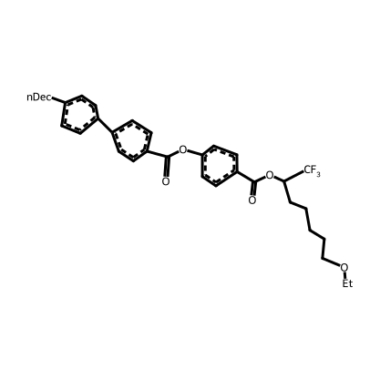 CCCCCCCCCCc1ccc(-c2ccc(C(=O)Oc3ccc(C(=O)OC(CCCCCOCC)C(F)(F)F)cc3)cc2)cc1